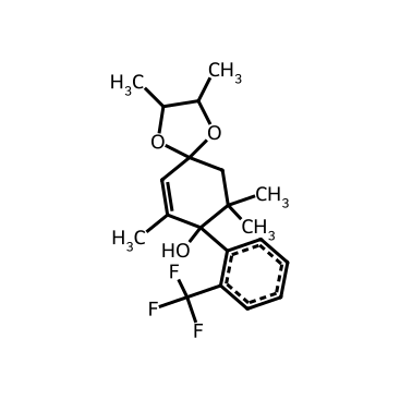 CC1=CC2(CC(C)(C)C1(O)c1ccccc1C(F)(F)F)OC(C)C(C)O2